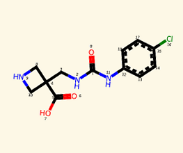 O=C(NCC1(C(=O)O)CNC1)Nc1ccc(Cl)cc1